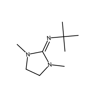 CN1CCN(C)C1=NC(C)(C)C